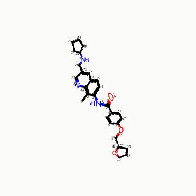 Cc1c(NC(=O)c2ccc(OC[C@H]3CCCO3)cc2)ccc2cc(CNC3CCCC3)cnc12